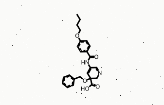 CCCCOc1ccc(C(=O)NC2=CC(OCc3ccccc3)(C(=O)O)CN=C2)cc1